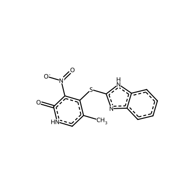 Cc1c[nH]c(=O)c([N+](=O)[O-])c1Sc1nc2ccccc2[nH]1